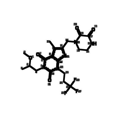 COC(C)Cn1c(=O)c2c(C)c(CN3CCNC(=O)C3=O)sc2n(CCC(F)(F)F)c1=O